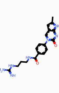 Cc1cc2cn(-c3ccc(C(=O)NCCCNC(=N)N)cc3)c(=O)nc2[nH]1